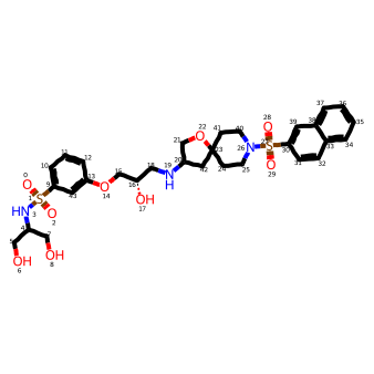 O=S(=O)(NC(CO)CO)c1cccc(OC[C@@H](O)CNC2COC3(CCN(S(=O)(=O)c4ccc5ccccc5c4)CC3)C2)c1